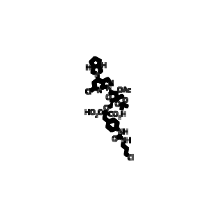 CC(=O)O[C@H]1[C@H](n2ncc3c(N4C[C@H]5CCC[C@H]5C4)cc(Cl)nc32)O[C@H](COC(Cc2ccc(NC(=O)NCCCCl)cc2)(C(=O)O)C(=O)O)C12COC(C)(C)O2